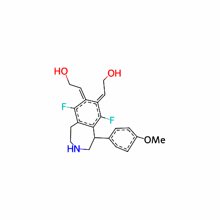 COc1ccc(C2CNCCc3c2c(F)c(=CCO)c(=CCO)c3F)cc1